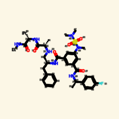 CCNC(=O)[C@@H](NC(=O)[C@H](C)NC[C@H](Cc1ccccc1)NC(=O)c1cc(C(=O)N[C@H](C)c2ccc(F)cc2)cc(N(C)S(=O)(=O)N(C)C)c1)C(C)C